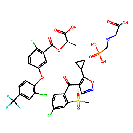 CS(=O)(=O)c1cc(Cl)ccc1C(=O)c1cnoc1C1CC1.C[C@H](OC(=O)c1cc(Oc2ccc(C(F)(F)F)cc2Cl)ccc1Cl)C(=O)O.O=C(O)CNCP(=O)(O)O